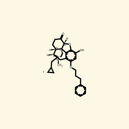 C[N@+]1(CC2CC2)CC[C@]23c4c5c(OCCCc6ccccc6)cc(O)c4O[C@H]2C(=O)CC[C@H]3[C@H]1C5.[I-]